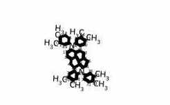 CC1=C(C)CCC(N(c2ccc(C)c(C)c2)c2ccc3c4c2ccc2ccc(N(c5ccc(C)c(C)c5)c5ccc(C)c(C)c5)c(c24)CC3)=C1